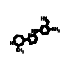 CC1CN(c2nccc(Nc3ccc(N)c(C=N)c3)n2)CCCN1